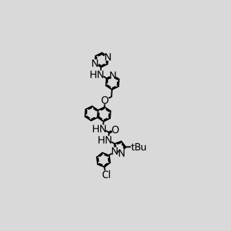 CC(C)(C)c1cc(NC(=O)Nc2ccc(OCc3ccnc(Nc4cnccn4)c3)c3ccccc23)n(-c2cccc(Cl)c2)n1